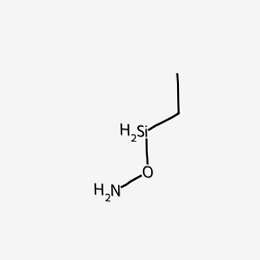 CC[SiH2]ON